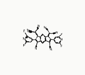 N#CC(C#N)=C1C(c2cc(F)nc(F)c2)=C(C#N)c2cc3c(cc21)C(=C(C#N)C#N)C(c1cc(F)nc(F)c1)=C3C#N